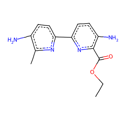 CCOC(=O)c1nc(-c2ccc(N)c(C)n2)ccc1N